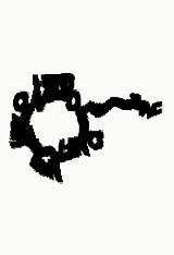 CC(=O)SCC/C=C/[C@@H]1CC(=O)NCc2cc(ccn2)C2=N[C@@](C)(CS2)C(=O)NC(C(C)C)C(=O)O1